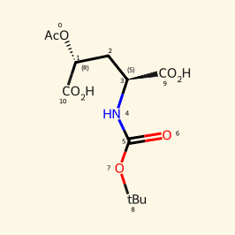 CC(=O)O[C@H](C[C@H](NC(=O)OC(C)(C)C)C(=O)O)C(=O)O